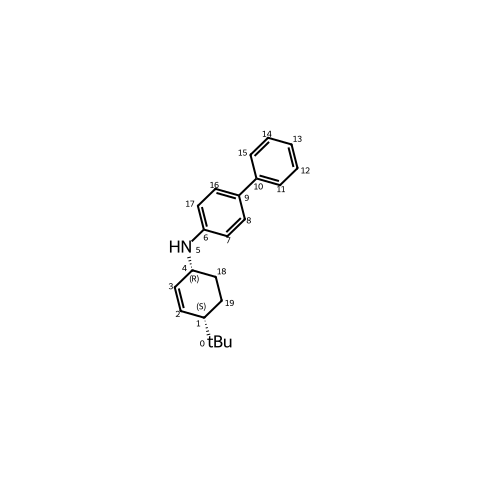 CC(C)(C)[C@@H]1C=C[C@H](Nc2ccc(-c3ccccc3)cc2)CC1